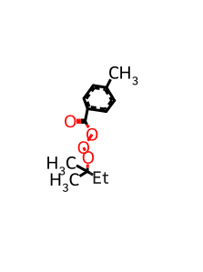 CCC(C)(C)OOOC(=O)c1ccc(C)cc1